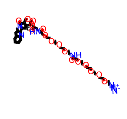 CC[C@@]1(OC(=O)CNC(=O)COCCOCCOCCOCCNC(=O)COCCOCCOCCOCCOCCN=[N+]=[N-])C(=O)OCc2c1cc1n(c2=O)Cc2cc3ccccc3nc2-1